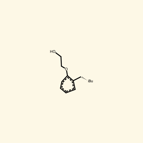 CC[C@@H](C)Cc1ccccc1OCCO